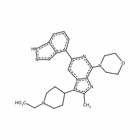 Cc1nc2c(N3CCOCC3)nc(-c3cccc4[nH]ncc34)cn2c1C1CCN(CC(=O)O)CC1